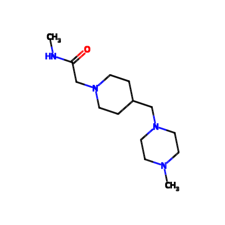 CNC(=O)CN1CCC(CN2CCN(C)CC2)CC1